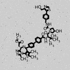 COC(=O)C[C@@H]1N=C(c2ccc(-c3ccc(C(=O)N[C@H](C(=O)N4C[C@H](O)C[C@H]4C(=O)NCc4ccc(-c5scnc5CO)cc4)C(C)(C)C)cc3)cc2)c2c(sc(C)c2C)-n2c(C)nnc21